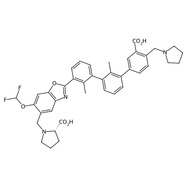 Cc1c(-c2ccc(CN3CCCC3)c(C(=O)O)c2)cccc1-c1cccc(-c2nc3cc(CN4CCC[C@H]4C(=O)O)c(OC(F)F)cc3o2)c1C